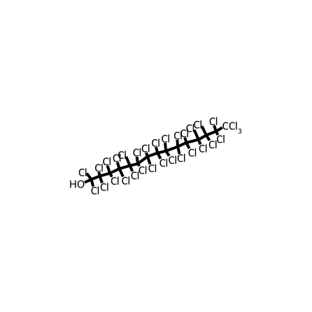 OC(Cl)(Cl)C(Cl)(Cl)C(Cl)(Cl)C(Cl)(Cl)C(Cl)(Cl)C(Cl)(Cl)C(Cl)(Cl)C(Cl)(Cl)C(Cl)(Cl)C(Cl)(Cl)C(Cl)(Cl)C(Cl)(Cl)C(Cl)(Cl)C(Cl)(Cl)C(Cl)(Cl)Cl